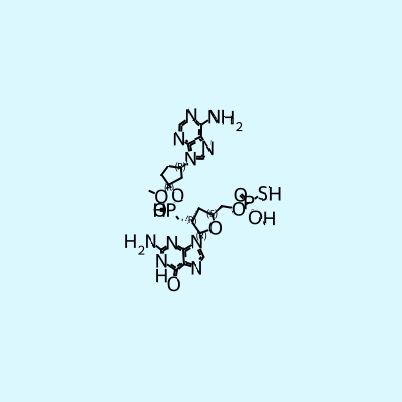 CO[C@@]1(O[PH](=O)C[C@@H]2C[C@@H](COP(=O)(O)S)O[C@H]2n2cnc3c(=O)[nH]c(N)nc32)CC[C@@H](n2cnc3c(N)ncnc32)C1